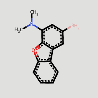 Bc1cc(N(C)C)c2oc3ccccc3c2c1